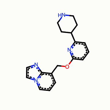 c1cc(OCc2cccn3ccnc23)nc(C2CCNCC2)c1